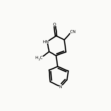 CC1NC(=O)C(C#N)C=C1c1ccncc1